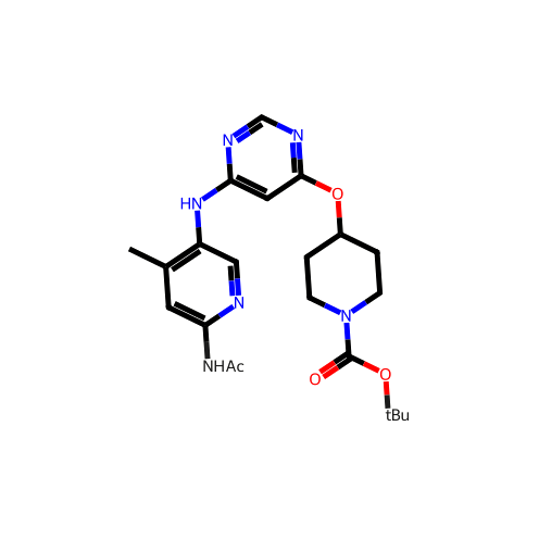 CC(=O)Nc1cc(C)c(Nc2cc(OC3CCN(C(=O)OC(C)(C)C)CC3)ncn2)cn1